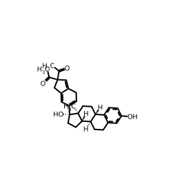 CC(=O)C1(C(C)=O)C=C2CC=C([C@]3(O)CC[C@H]4[C@@H]5CCc6cc(O)ccc6[C@H]5CC[C@@]43C)C=C2C1